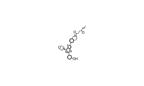 CC=CC(=O)CCC(=O)N1CCc2cc(-c3cc4nc(-c5cccc(O)c5)nc(N5CCOCC5)c4s3)ccc2C1